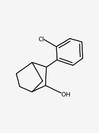 OC1C2CCC(C2)C1c1ccccc1Cl